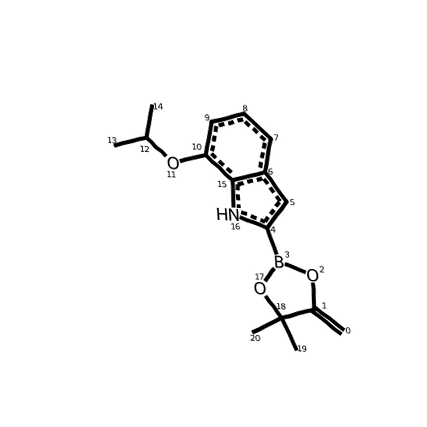 C=C1OB(c2cc3cccc(OC(C)C)c3[nH]2)OC1(C)C